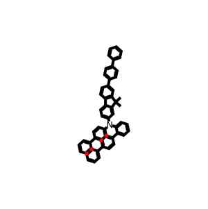 CC1(C)c2cc(-c3ccc(-c4ccccc4)cc3)ccc2-c2ccc(N(c3ccc(-c4ccccc4)cc3)c3ccccc3-c3ccc(-c4ccccc4)cc3)cc21